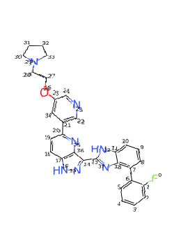 Fc1ccccc1-c1cccc2[nH]c(-c3n[nH]c4ccc(-c5cncc(OCCN6CCCC6)c5)nc34)nc12